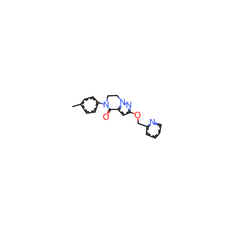 Cc1ccc(N2CCn3nc(OCc4ccccn4)cc3C2=O)cc1